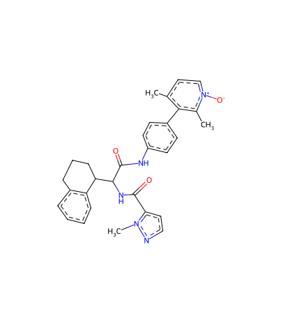 Cc1cc[n+]([O-])c(C)c1-c1ccc(NC(=O)C(NC(=O)c2ccnn2C)C2CCCc3ccccc32)cc1